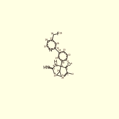 C=C(C)C(=O)C(NC(C)=N)(c1cccc(-c2cc(CF)ccn2)c1)C1CC1